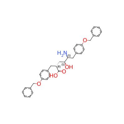 N[C@@H](Cc1ccc(OCc2ccccc2)cc1)[C@@H](O)C[C@@H](Cc1ccc(OCc2ccccc2)cc1)C(=O)O